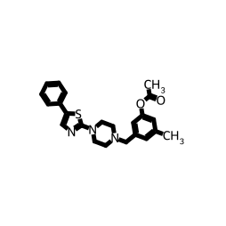 CC(=O)Oc1cc(C)cc(CN2CCN(c3ncc(-c4ccccc4)s3)CC2)c1